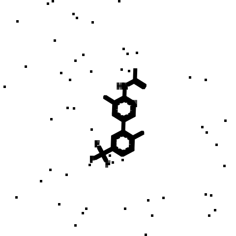 C=C(C)Nc1ncc(-c2cc(C(F)(F)F)ccc2C)cc1C